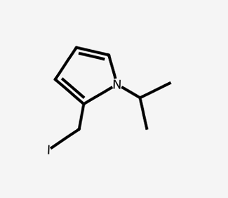 CC(C)n1cccc1CI